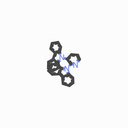 c1cnc(-n2c3ccccc3c3ccccc32)c(-n2c3ccccc3c3ccccc32)c1